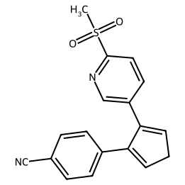 CS(=O)(=O)c1ccc(C2=CCC=C2c2ccc(C#N)cc2)cn1